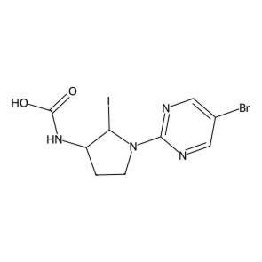 O=C(O)NC1CCN(c2ncc(Br)cn2)C1I